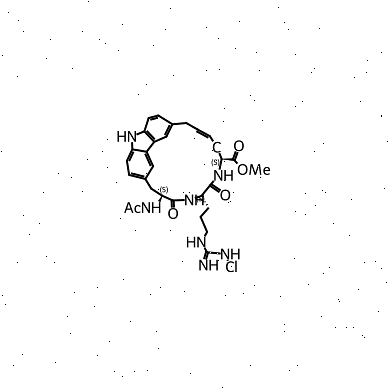 COC(=O)[C@@H]1CC=CCc2ccc3[nH]c4ccc(cc4c3c2)C[C@H](NC(C)=O)C(=O)N[C@@H](CCCNC(=N)NCl)C(=O)N1